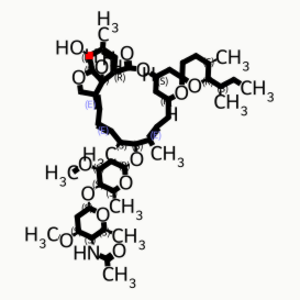 CC[C@H](C)[C@H]1OC2(CC[C@@H]1C)C[C@@H]1C[C@@H](C/C=C(\C)[C@@H](O[C@H]3C[C@H](OC)[C@@H](O[C@H]4C[C@H](OC)[C@@H](NC(C)=O)[C@H](C)O4)[C@H](C)O3)[C@@H](C)/C=C/C=C3\CO[C@@H]4[C@H](O)C(C)=C[C@@H](C(=O)O1)[C@]34O)O2